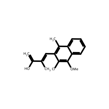 C=C(O)/C(C)=C/c1c(Cl)c(OC)c2ccccc2c1C